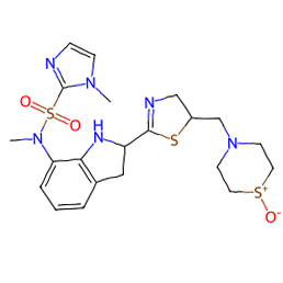 CN(c1cccc2c1NC(C1=NCC(CN3CC[S+]([O-])CC3)S1)C2)S(=O)(=O)c1nccn1C